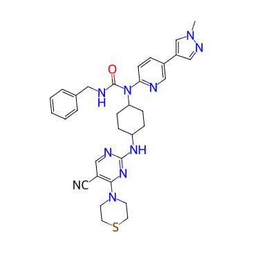 Cn1cc(-c2ccc(N(C(=O)NCc3ccccc3)C3CCC(Nc4ncc(C#N)c(N5CCSCC5)n4)CC3)nc2)cn1